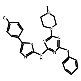 CN1CCN(c2nc(Nc3ncc(-c4ccc(Cl)cc4)s3)nc(Sc3ccccc3)n2)CC1